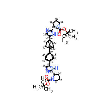 CC(C)(C)OC(=O)N1CCC[C@H]1c1ncc(-c2ccc(C34CCC(c5cnc([C@@H]6CCCN6C(=O)OC(C)(C)C)[nH]5)(CC3)CC4)cc2)[nH]1